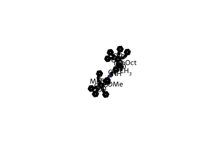 CCCCCCCCOc1c(O[C@@H]2O[C@H](COCc3ccccc3)[C@@H](OCc3ccccc3)[C@H](OCc3ccccc3)[C@H]2OCc2ccccc2)c2ccc(NC(=O)/C=C/c3cc(OC)c(O[C@@H]4O[C@H](COCc5ccccc5)[C@@H](OCc5ccccc5)[C@H](OCc5ccccc5)[C@H]4OCc4ccccc4)c(OC)c3)cc2n(C)c1=O